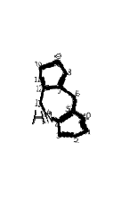 [c]1cccc2c1Cc1ccccc1CN2